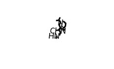 CNCc1nn2c(c1Cl)CN(C(C)C)CCC2